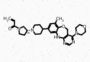 C=CC(=O)N1CC[C@@H](N2CCC(c3cc(C)c4c(c3)Nc3ncnc(N5CCOCC5)c3CO4)CC2)C1